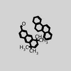 C1=CC2=C(CC1)CCc1c2ccc2ccccc12.CC1(C)C=CC(C)(C)c2cc3cc(C=O)ccc3cc21